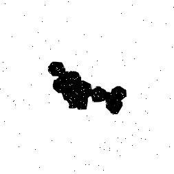 c1ccc(-n2c3ccccc3c3c(N(c4ccc(-c5ccc(-n6c7ccccc7c7ccccc76)cc5)cc4)c4cccc5sc6ccccc6c45)cccc32)cc1